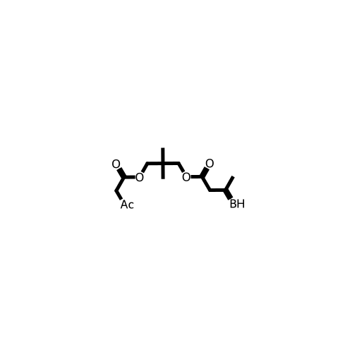 B=C(C)CC(=O)OCC(C)(C)COC(=O)CC(C)=O